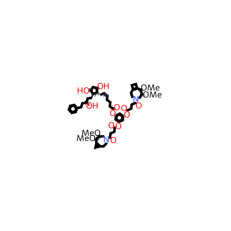 CO[C@H]1CN(C(=O)CCC(=O)Oc2cc(OC(=O)CCC/C=C\C[C@@H]3[C@@H](CC[C@@H](O)CCc4ccccc4)[C@H](O)C[C@@H]3O)cc(OC(=O)CCC(=O)N3CCC4=C(C4)[C@H](OC)[C@@H](OC)C3)c2)CCC2=C(CC2)[C@@H]1OC